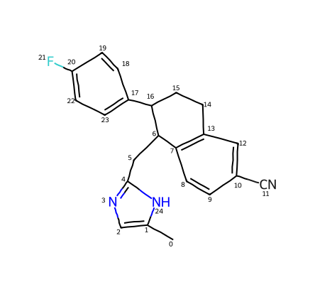 Cc1cnc(CC2c3ccc(C#N)cc3CCC2c2ccc(F)cc2)[nH]1